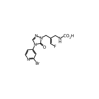 O=C(O)NCC(=CF)Cn1ncn(-c2ccnc(Br)c2)c1=O